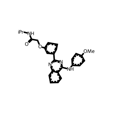 COc1ccc(Nc2nc(-c3cccc(OCC(=O)NC(C)C)c3)nc3ccccc23)cc1